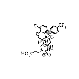 O=C(O)CC[C@@H]1C[C@@H]2[C@@H](CC[C@@]3(S(=O)(=O)c4ccc(C(F)(F)F)cc4)c4c(F)ccc(F)c4OC[C@@H]23)NS1(=O)=O